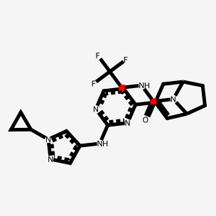 O=C(NCC(F)(F)F)N1C2C=C(c3ccnc(Nc4cnn(C5CC5)c4)n3)CC1CC2